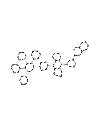 c1ccc(-c2cc(-c3ccc(-c4c5ccccc5c(-c5cccc(-c6cnc7ccccc7c6)c5)c5ccccc45)cc3)c(-c3ccccc3)c(-c3ccccc3)c2-c2ccccc2)cc1